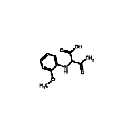 COc1ccccc1NC(C(C)=O)C(=O)O